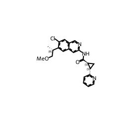 COC[C@H](C)c1cc2cc(NC(=O)[C@H]3C[C@@H]3c3ccccn3)ncc2cc1Cl